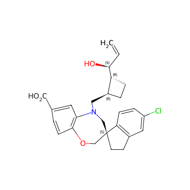 C=C[C@H](O)[C@@H]1CC[C@H]1CN1C[C@@]2(CCc3cc(Cl)ccc32)COc2ccc(C(=O)O)cc21